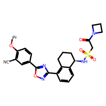 CC(C)Oc1ccc(-c2nc(-c3cccc4c3CCC[C@H]4NS(=O)(=O)CC(=O)N3CCC3)no2)cc1C#N